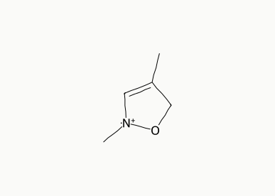 CC1=C[N+](C)OC1